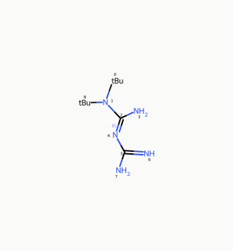 CC(C)(C)N(/C(N)=N/C(=N)N)C(C)(C)C